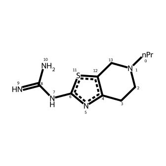 CCCN1CCc2nc(NC(=N)N)sc2C1